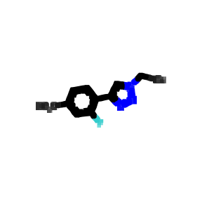 CC(C)(C)Cn1cc(-c2ccc(C(=O)O)cc2F)nn1